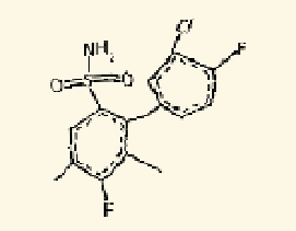 Cc1cc(S(N)(=O)=O)c(-c2ccc(F)c(Cl)c2)c(C)c1F